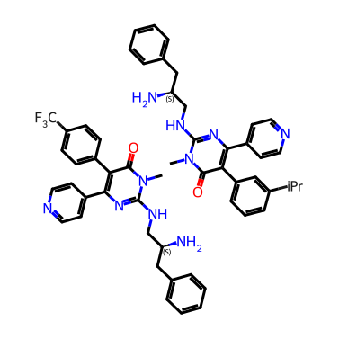 CC(C)c1cccc(-c2c(-c3ccncc3)nc(NC[C@@H](N)Cc3ccccc3)n(C)c2=O)c1.Cn1c(NC[C@@H](N)Cc2ccccc2)nc(-c2ccncc2)c(-c2ccc(C(F)(F)F)cc2)c1=O